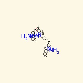 CC1(C)CCC2CC3(C)C(C)(C)c4cc(C(C)(C)CC5CCC6CC7(C)N(NCC8(C)c9cc(C(C)(C)C)ccc9N(N)C9(C)CCCC(C)(C)C89)c8ccc(C(C)(C)C)cc8C(C)(C)C7(C)CC6C5)ccc4N(N)C3(C)CC2C1